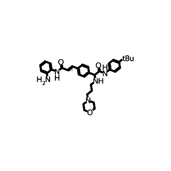 CC(C)(C)c1ccc(NC(=O)C(NCCCN2CCOCC2)c2ccc(/C=C/C(=O)Nc3ccccc3N)cc2)cc1